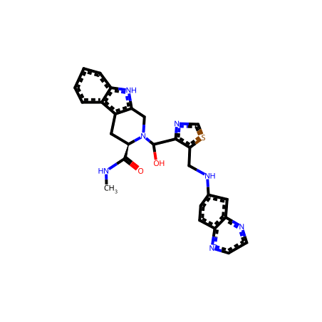 CNC(=O)[C@H]1Cc2c([nH]c3ccccc23)CN1C(O)c1ncsc1CNc1ccc2nccnc2c1